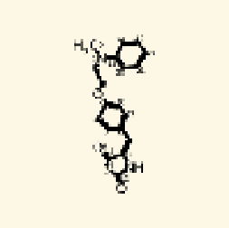 CN(CCOc1ccc(C=C2NC(=O)SC2=O)cc1)c1ccccc1